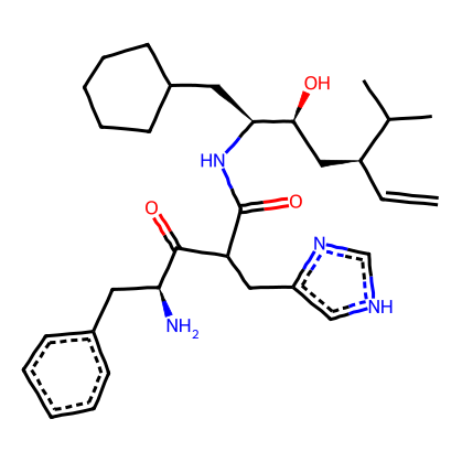 C=C[C@@H](C[C@H](O)[C@H](CC1CCCCC1)NC(=O)C(Cc1c[nH]cn1)C(=O)[C@@H](N)Cc1ccccc1)C(C)C